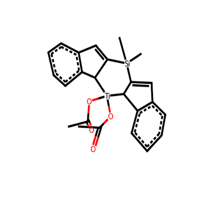 CC(=O)[O][Ti]1([O]C(C)=O)[CH]2C(=Cc3ccccc32)[Si](C)(C)C2=Cc3ccccc3[CH]21